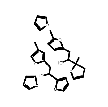 Cc1ccc(CC(O)C2(C)CC=CO2)o1.Cc1coc(CC(O)c2ccco2)c1.c1ccoc1.c1ccoc1